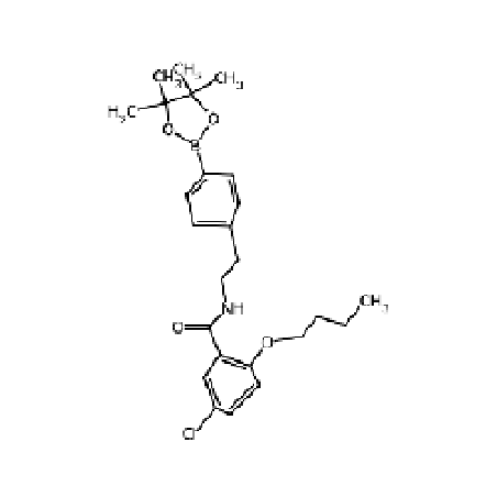 CCCCOc1ccc(Cl)cc1C(=O)NCCc1ccc(B2OC(C)(C)C(C)(C)O2)cc1